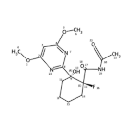 COc1cc(OC)nc([C@]2(O)CCCC[C@@]2(F)C(=O)NC(C)=O)n1